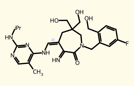 Cc1cnc(NC(C)C)nc1N/C=C1/CC(CO)(CO)CN(Cc2cc(F)ccc2CO)C(=O)C1=N